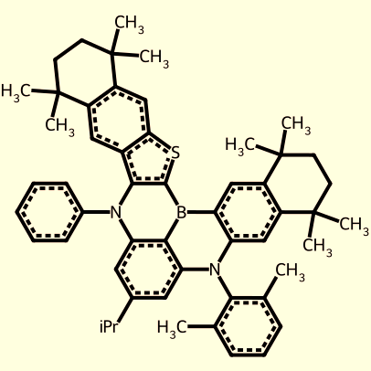 Cc1cccc(C)c1N1c2cc3c(cc2B2c4sc5cc6c(cc5c4N(c4ccccc4)c4cc(C(C)C)cc1c42)C(C)(C)CCC6(C)C)C(C)(C)CCC3(C)C